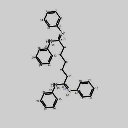 c1ccc(/N=C(/CCCCC/C(=N\c2ccccc2)Nc2ccccc2)Nc2ccccc2)cc1